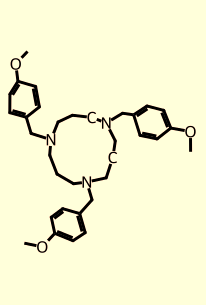 COc1ccc(CN2CCCN(Cc3ccc(OC)cc3)CCCN(Cc3ccc(OC)cc3)CCC2)cc1